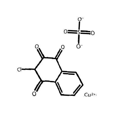 O=C1C(=O)C(Cl)C(=O)c2ccccc21.O=S(=O)([O-])[O-].[Cu+2]